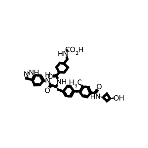 Cc1cc(C(=O)N[C@H]2C[C@H](O)C2)ccc1-c1ccc(C[C@H](NC(=O)C2CCC(CNC(=O)O)CC2)C(=O)Nc2ccc3cn[nH]c3c2)cc1